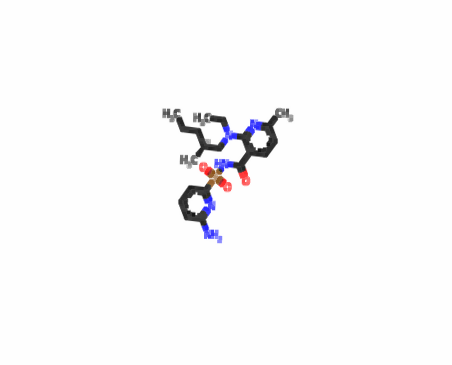 CCC[C@H](C)CN(CC)c1nc(C)ccc1C(=O)NS(=O)(=O)c1cccc(N)n1